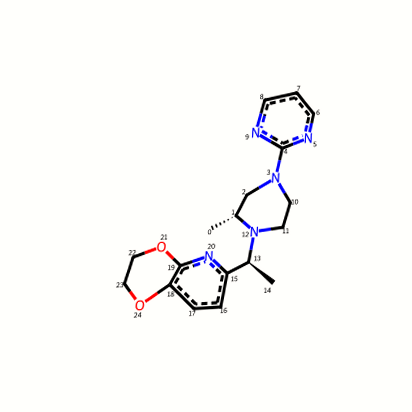 C[C@@H]1CN(c2ncccn2)CCN1[C@@H](C)c1ccc2c(n1)OCCO2